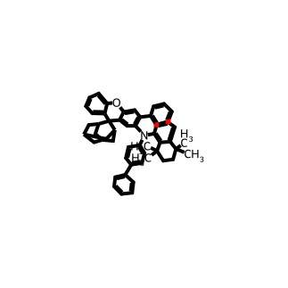 CC1(C)CCC(C)(C)c2c(N(c3ccc(-c4ccccc4)cc3)c3cc4c(cc3-c3ccccc3)Oc3ccccc3C43C4CC5CC(C4)CC3C5)cccc21